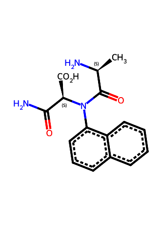 C[C@H](N)C(=O)N(c1cccc2ccccc12)[C@@H](C(N)=O)C(=O)O